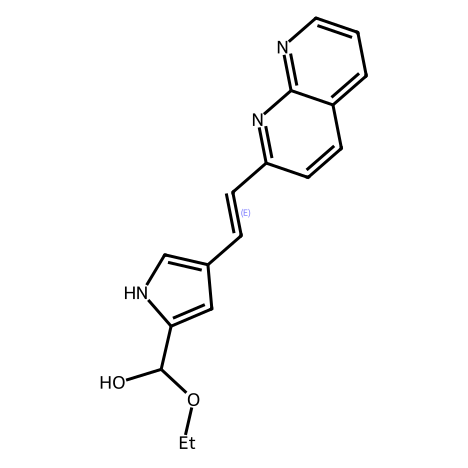 CCOC(O)c1cc(/C=C/c2ccc3cccnc3n2)c[nH]1